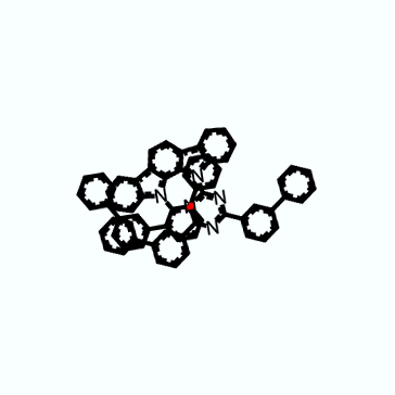 c1ccc(-c2cccc(-c3nc(-c4cccc(-c5ccccc5)c4)nc(-n4c5ccccc5c5ccc6c7ccccc7n(-c7c(-c8ccccc8)cccc7-c7cccc(-c8ccccc8)c7)c6c54)n3)c2)cc1